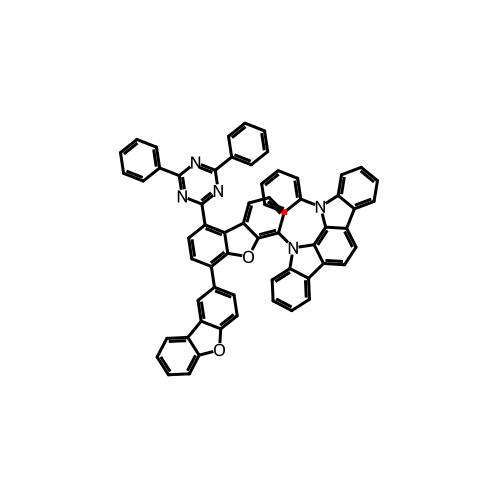 c1ccc(-c2nc(-c3ccccc3)nc(-c3ccc(-c4ccc5oc6ccccc6c5c4)c4oc5c(-n6c7ccccc7c7ccc8c9ccccc9n(-c9ccccc9)c8c76)cccc5c34)n2)cc1